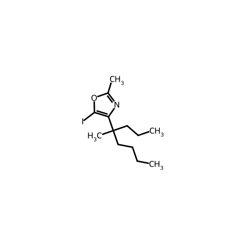 CCCCC(C)(CCC)c1nc(C)oc1I